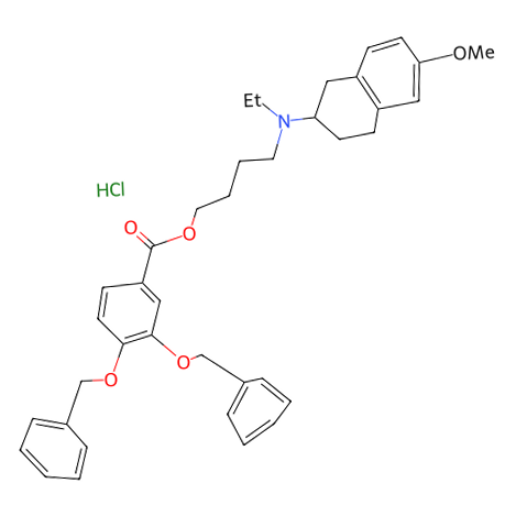 CCN(CCCCOC(=O)c1ccc(OCc2ccccc2)c(OCc2ccccc2)c1)C1CCc2cc(OC)ccc2C1.Cl